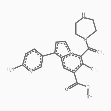 C=C(c1c(C)c(C(=O)OC(C)C)cc2c(-c3ccc(N)nc3)ccn12)N1CCNCC1